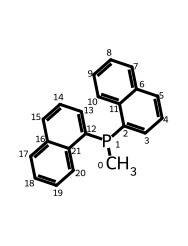 CP(c1cccc2ccccc12)c1cccc2ccccc12